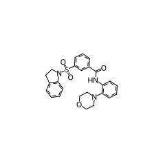 O=C(Nc1ccccc1N1CCOCC1)c1cccc(S(=O)(=O)N2CCc3ccccc32)c1